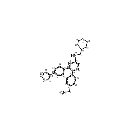 NCc1ccc(-c2ncc(NCC3CCNCC3)nc2-c2ccc(-c3ccoc3)cc2)cc1